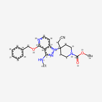 CCNc1nn(C2(CC#N)CCN(C(=O)OC(C)(C)C)CC2)c2ccnc(OCc3ccccc3)c12